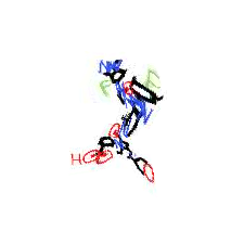 C=Cc1c(/C=C(\C)C2CCOCC2)cc(C(=O)N2CCc3nn(-c4cc(C)c(F)c(C)c4)c(-n4ccn(-c5ccc6c(cnn6C)c5F)c4=O)c3[C@@H]2C)n1-c1cccc(C(=O)O)c1